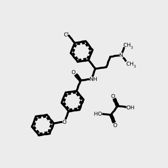 CN(C)CCC(NC(=O)c1ccc(Oc2ccccc2)cc1)c1ccc(Cl)cc1.O=C(O)C(=O)O